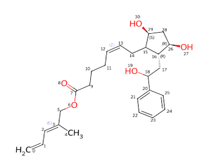 C=C/C=C(\C)COC(=O)CCC/C=C\CC1[C@@H](CC(O)c2ccccc2)[C@H](O)C[C@@H]1O